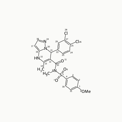 COc1ccc(S(=O)(=O)N(C)C(=O)C2=C(C)Nc3ccnn3C2c2ccc(Cl)c(Cl)c2)cc1